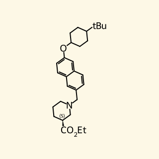 CCOC(=O)[C@H]1CCCN(Cc2ccc3cc(OC4CCC(C(C)(C)C)CC4)ccc3c2)C1